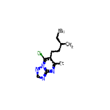 CCc1nc2ncnn2c(Cl)c1CCC(C)CC(C)(C)C